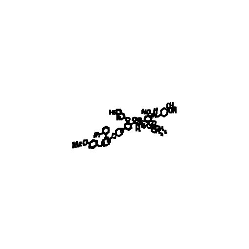 COc1ccc(CN2CCN(C3CC4(CCN(c5ccc(C(=O)NS(=O)(=O)c6cc([N+](=O)[O-])c(NCC7CCC(C)(O)CC7)c7c6OC(C)(C)O7)c(Oc6cnc7[nH]ccc7c6)c5)CC4)C3)[C@H](c3ccccc3C(C)C)C2)cc1